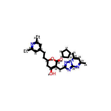 CCc1cc(CCC2CC(O)=C(CC3=N[N@+]4(C5CCCC5)C(C)=CC(C)=NC4=N3)C(=O)O2)cc(CC)n1